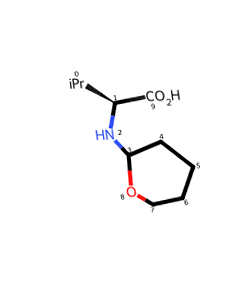 CC(C)[C@H](NC1CCCCO1)C(=O)O